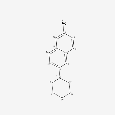 CC(=O)c1ccc2cc(N3CCCCC3)ccc2c1